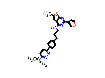 Cc1cc2c(NCCCc3ccc(-c4ccc(N(C)C)nn4)cc3)nc(-c3ccoc3)nc2s1